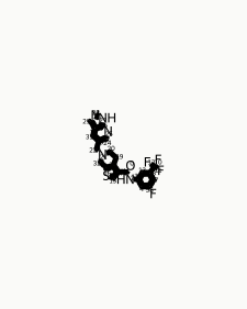 O=C(Nc1cc(F)cc(C(F)(F)F)c1)c1csc2c1CCN(Cc1cnc3[nH]ncc3c1)C2